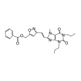 CCCn1c(=O)c2c(nc(/C=C/c3cc(COC(=O)c4ccccc4)on3)n2C)n(CCC)c1=O